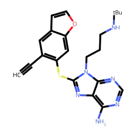 C#Cc1cc2ccoc2cc1Sc1nc2c(N)ncnc2n1CCCNC(C)(C)C